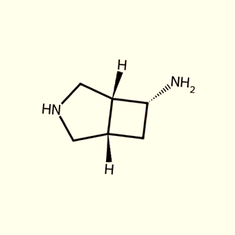 N[C@@H]1C[C@@H]2CNC[C@@H]21